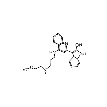 CCOCCN(C)CCCNc1cc(C2=C(O)NC3C=CC=CC23)nc2ccccc12